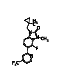 Cn1c(=O)n(CC2(C)CC2)c2ccc(-c3cc(C(F)(F)F)ccn3)c(F)c21